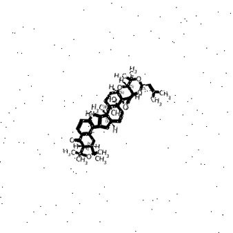 CC(C)=C[C@H]1O[C@H]2C3O[C@@]34[C@H](CC[C@@]3(C)[C@@]4(O)CC[C@H]4Cc5c([nH]c6ccc7c(c56)C[C@@H]5[C@@H](C7=O)C(C)(C)OC5(C)C)[C@@]43C)O[C@@H]2C(C)(C)O1